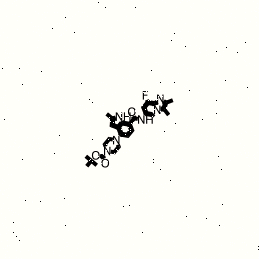 Cc1cc2c(N3CCN(C(=O)OC(C)(C)C)CC3)ccc(C(=O)Nc3cc(F)c4nc(C)c(C)n4c3)c2[nH]1